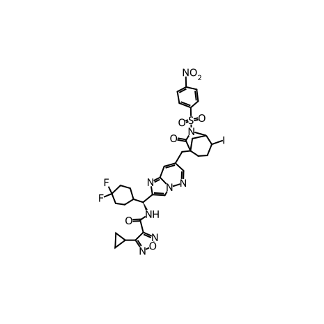 O=C(N[C@H](c1cn2ncc(CC34CCC(I)C(C3)N(S(=O)(=O)c3ccc([N+](=O)[O-])cc3)C4=O)cc2n1)C1CCC(F)(F)CC1)c1nonc1C1CC1